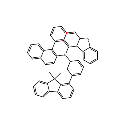 CC1(C)c2ccccc2-c2cccc(C3=CC=CC(N(C4=CC=CC5Sc6ccccc6C45)c4ccc5ccccc5c4-c4ccccc4)C3)c21